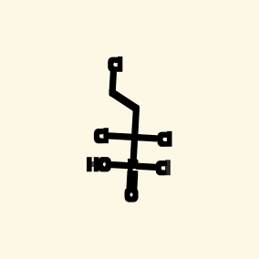 O=P(O)(Cl)C(Cl)(Cl)CCCl